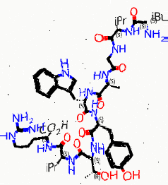 CC[C@H](C)[C@H](N)C(=O)N[C@H](C(=O)NCC(=O)N[C@@H](C)C(=O)N[C@@H](Cc1c[nH]c2ccccc12)C(=O)N[C@@H](Cc1ccc(O)cc1)C(=O)N[C@H](C(=O)N[C@H](C(=O)N[C@@H](CCCNC(=N)N)C(=O)O)C(C)C)[C@@H](C)O)C(C)C